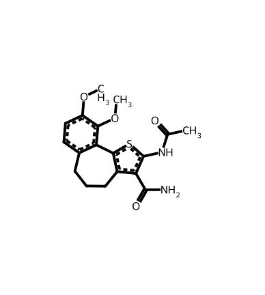 COc1ccc2c(c1OC)-c1sc(NC(C)=O)c(C(N)=O)c1CCC2